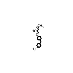 COCC(O)COc1ccc(Cc2ccc(C)cc2)cc1